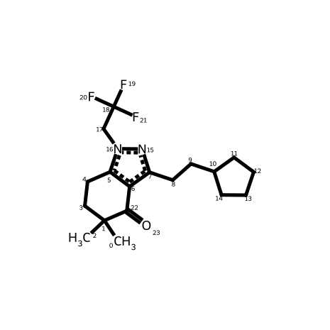 CC1(C)CCc2c(c(CCC3CCCC3)nn2CC(F)(F)F)C1=O